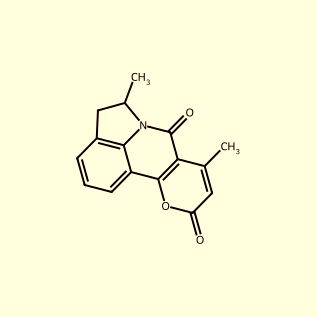 Cc1cc(=O)oc2c1c(=O)n1c3c(cccc23)CC1C